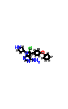 Nc1ncnc2c1c(-c1ccc(Oc3ccccc3)cc1)c(Cl)n2C1CCNC1